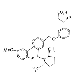 CCC[C@@H](CC(=O)O)c1cccc(OCc2ccc(-c3cc(OC)ccc3F)c(CN3[C@@H](C)CCC[C@@H]3C)c2)c1